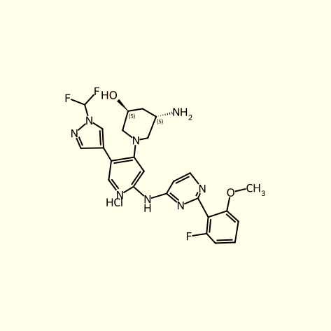 COc1cccc(F)c1-c1nccc(Nc2cc(N3C[C@@H](N)C[C@H](O)C3)c(-c3cnn(C(F)F)c3)cn2)n1.Cl